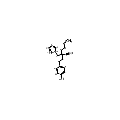 CCCCC(C#N)(CCc1ccc(Cl)cc1)Cn1cncn1